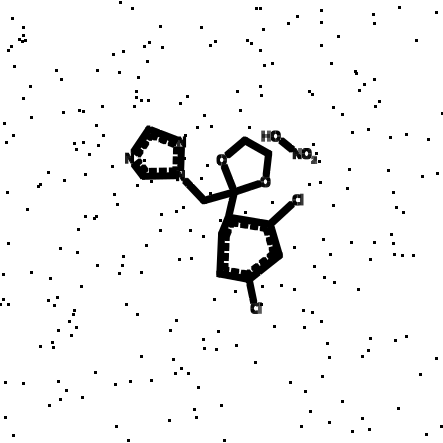 Clc1ccc(C2(Cn3cncn3)OCCO2)c(Cl)c1.O=[N+]([O-])O